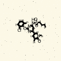 CCCCS(=O)(=O)Nc1cc(-c2cc(C)c(=O)n(C)c2)nc(Oc2c(C)cccc2Cl)n1